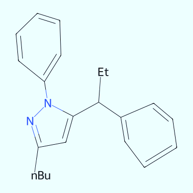 [CH2]CC(c1ccccc1)c1cc(CCCC)nn1-c1ccccc1